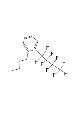 [CH2]CCCc1ccccc1C(F)(F)C(F)(F)C(F)(F)C(F)(F)F